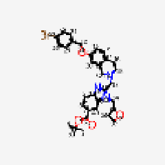 CC(C)(C)OC(=O)c1ccc2nc(CN3CCc4ccc(OCc5ccc(Br)cc5)cc4C3)n(C[C@@H]3CCO3)c2c1